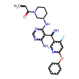 C=CC(=O)N1CCC[C@@H](Nc2ncnc(N)c2C(=N)c2cnc(Oc3ccccc3)cc2F)C1